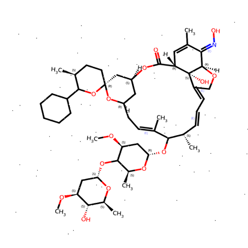 CO[C@H]1C[C@H](OC2/C(C)=C/C[C@@H]3C[C@@H](C[C@]4(CC[C@H](C)C(C5CCCCC5)O4)O3)OC(=O)[C@@H]3C=C(C)/C(=N\O)[C@H]4OC/C(=C\C=C\[C@@H]2C)[C@]43O)O[C@@H](C)C1O[C@H]1C[C@H](OC)[C@@H](O)[C@H](C)O1